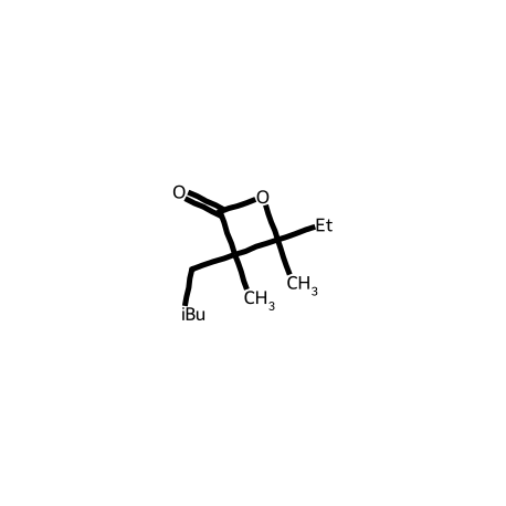 CCC(C)CC1(C)C(=O)OC1(C)CC